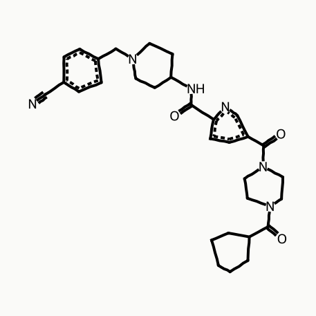 N#Cc1ccc(CN2CCC(NC(=O)c3ccc(C(=O)N4CCN(C(=O)C5CCCCC5)CC4)cn3)CC2)cc1